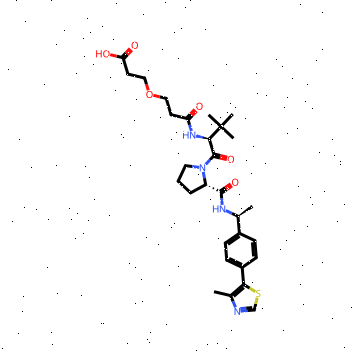 Cc1ncsc1-c1ccc([C@H](C)NC(=O)[C@@H]2CCCN2C(=O)[C@@H](NC(=O)CCOCCC(=O)O)C(C)(C)C)cc1